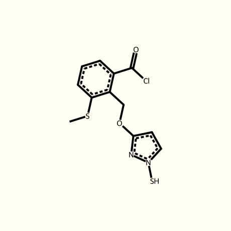 CSc1cccc(C(=O)Cl)c1COc1ccn(S)n1